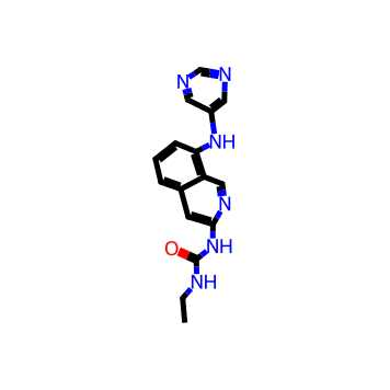 CCNC(=O)Nc1cc2cccc(Nc3cncnc3)c2cn1